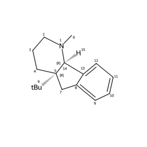 CN1CCC[C@]2(C(C)(C)C)Cc3ccccc3[C@H]12